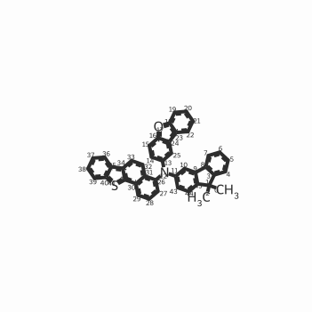 CC1(C)c2ccccc2-c2cc(N(c3ccc4oc5ccccc5c4c3)c3cccc4c3ccc3c5ccccc5sc43)ccc21